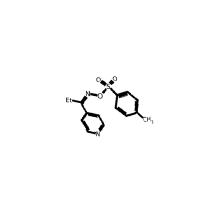 CCC(=NOS(=O)(=O)c1ccc(C)cc1)c1ccncc1